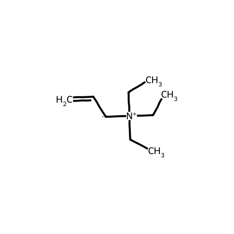 C=C[CH][N+](CC)(CC)CC